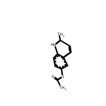 CC(=O)Oc1ccc2c(c1)C=CC(C)N2